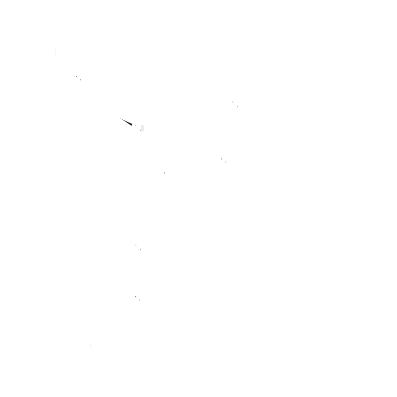 CN1CC[C@H](NC(=O)C2(c3ccc(-c4cccc(F)c4C#N)nc3)CCN(c3ccc(C(F)(F)F)cc3C#N)CC2)C1